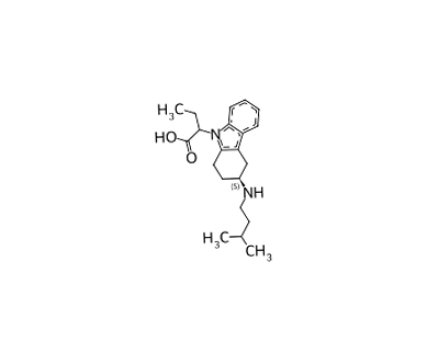 CCC(C(=O)O)n1c2c(c3ccccc31)C[C@@H](NCCC(C)C)CC2